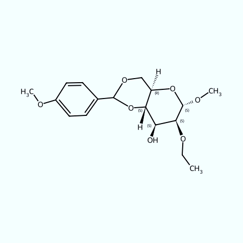 CCO[C@@H]1[C@@H](OC)O[C@@H]2COC(c3ccc(OC)cc3)O[C@H]2[C@@H]1O